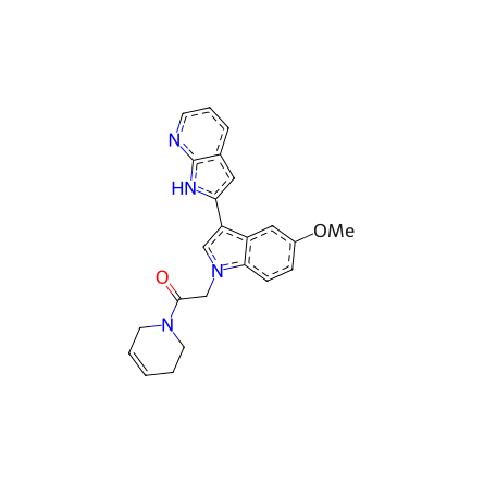 COc1ccc2c(c1)c(-c1cc3cccnc3[nH]1)cn2CC(=O)N1CC=CCC1